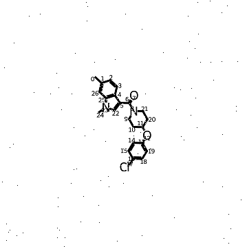 Cc1ccc2c(C(=O)N3CCC(Oc4ccc(Cl)cc4)CC3)cn(C)c2c1